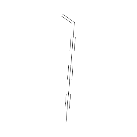 C=CC#CC#CC#CC